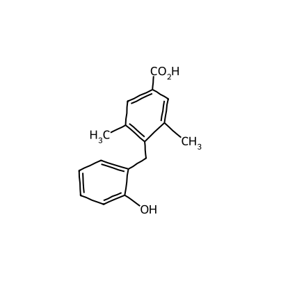 Cc1cc(C(=O)O)cc(C)c1Cc1ccccc1O